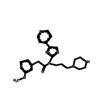 COc1cccc(CC(=O)N(CCCN2CCNCC2)c2nc(-c3ccncc3)cs2)c1